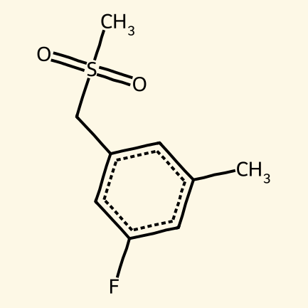 Cc1cc(F)cc(CS(C)(=O)=O)c1